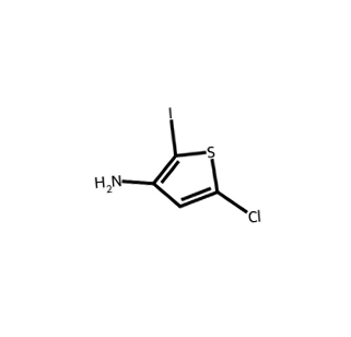 Nc1cc(Cl)sc1I